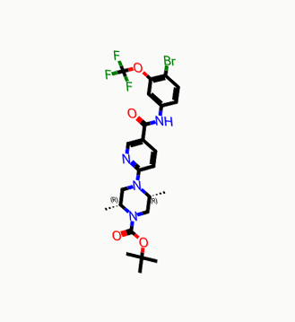 C[C@@H]1CN(c2ccc(C(=O)Nc3ccc(Br)c(OC(F)(F)F)c3)cn2)[C@H](C)CN1C(=O)OC(C)(C)C